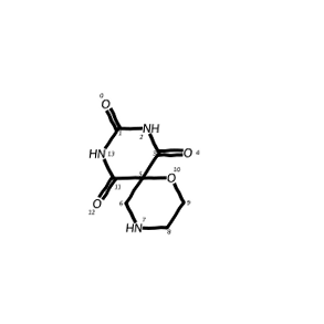 O=C1NC(=O)C2(CNCCO2)C(=O)N1